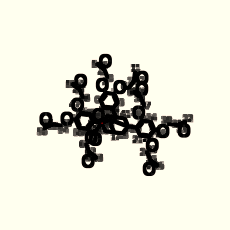 c1c(OCC2CO2)c(OCC2CO2)cc(C23CC4CC(c5cc(OCC6CO6)c(OCC6CO6)cc5OCC5CO5)(C2)CC(c2cc(OCC5CO5)c(OCC5CO5)cc2OCC2CO2)(C4)C3)c1OCC1CO1